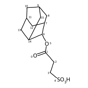 O=C(CCS(=O)(=O)O)OC1C2CC3CC(C2)CC1C3